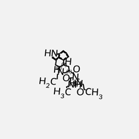 C=CCN1C[C@H](C(=O)N(CNCC(C)=O)C(=O)NCC)C[C@@H]2c3cccc4[nH]cc(c34)C[C@H]21